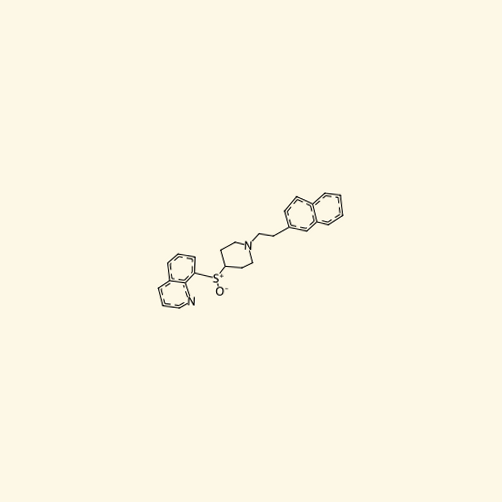 [O-][S+](c1cccc2cccnc12)C1CCN(CCc2ccc3ccccc3c2)CC1